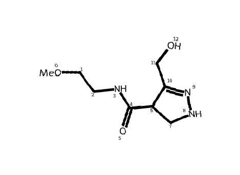 COCCNC(=O)C1CNN=C1CO